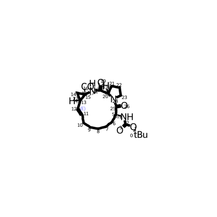 CC(C)(C)OC(=O)N[C@H]1CCCCC/C=C/[C@@H]2C[C@@]2(C(=O)O)NC(=O)[C@@H]2CCCN2C1=O